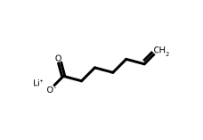 C=CCCCCC(=O)[O-].[Li+]